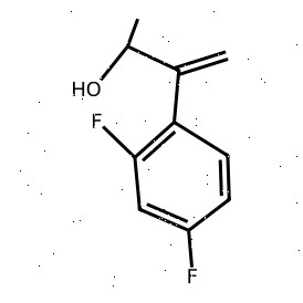 C=C(c1ccc(F)cc1F)C(C)O